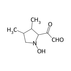 CC1CN(O)C(C(=O)C=O)C1C